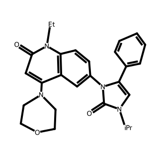 CCn1c(=O)cc(N2CCOCC2)c2cc(-n3c(-c4ccccc4)cn(C(C)C)c3=O)ccc21